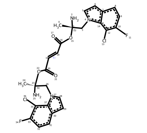 C[C@@](N)(Cn1ccc2ccc(F)c(Cl)c21)OC(=O)/C=C/C(=O)O[C@](C)(N)Cn1ccc2ccc(F)c(Cl)c21